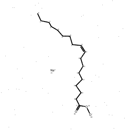 CCCCCCCC/C=C\CCCCCCCC(=O)O[O-].[Na+]